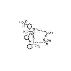 CC1(C)/C(=C\C=C\C2N(c3ccccc3)c3ccccc3C2(C)CCCCS(=O)(=O)O)N(CCCCCC(=O)O)c2ccc(S(=O)(=O)O)cc21